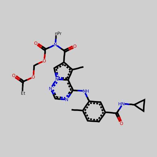 CCCN(C(=O)OCOC(=O)CC)C(=O)c1cn2ncnc(Nc3cc(C(=O)NC4CC4)ccc3C)c2c1C